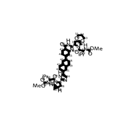 COC(=O)N[C@H](C(=O)N1CC2(C[C@H]1c1nc3cc(-c4ccc5cc(-c6cnc([C@@H]7C[C@H]8C[C@H]8N7C(=O)[C@@H](NC(=O)OC)C(C)C)[nH]6)ccc5c4)ccc3c(=O)[nH]1)OCCCO2)C(C)C